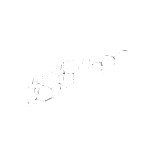 COC(=O)CC(=O)NC[C@H]1CC[C@H]2[C@@H]3CC[C@H]4N(C)C(=O)C=C[C@]4(C)[C@H]3CC[C@]12C